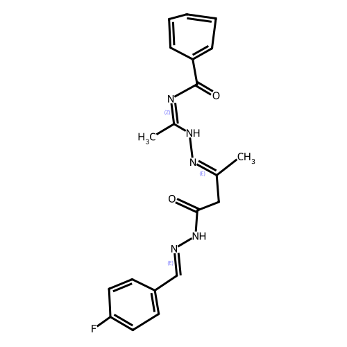 C/C(=N/C(=O)c1ccccc1)N/N=C(\C)CC(=O)N/N=C/c1ccc(F)cc1